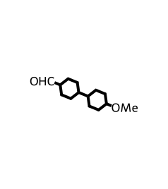 COC1CCC(C2CCC(C=O)CC2)CC1